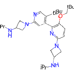 CC(C)NC1CN(c2cc(-c3nc(N4CC(NC(C)C)C4)ccc3OCC(C)(C)C)c(C(C)(C)C)cn2)C1